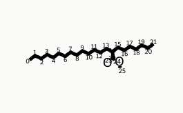 CCCCCCCCCCCCCCC(CCCCCCC)C(=O)OC